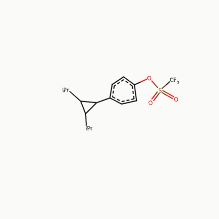 CC(C)C1C(c2ccc(OS(=O)(=O)C(F)(F)F)cc2)C1C(C)C